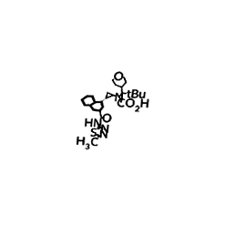 Cc1nnc(NC(=O)c2cc([C@@H]3C[C@H]3N(C(=O)O)C(C3CCOCC3)C(C)(C)C)c3ccccc3c2)s1